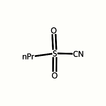 CCCS(=O)(=O)C#N